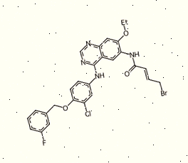 CCOc1cc2ncnc(Nc3ccc(OCc4cccc(F)c4)c(Cl)c3)c2cc1NC(=O)/C=C/CBr